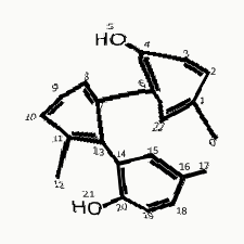 Cc1ccc(O)c(-c2cccc(C)c2-c2cc(C)ccc2O)c1